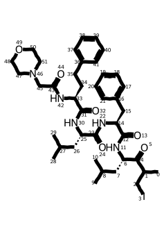 C[C](CI)C(=O)[C@H](CC(C)C)NC(=O)[C@H](Cc1ccccc1)NC(=O)[C@H](CC(C)C)NC(=O)[C@H](CCc1ccccc1)NC(=O)CN1CCOCC1